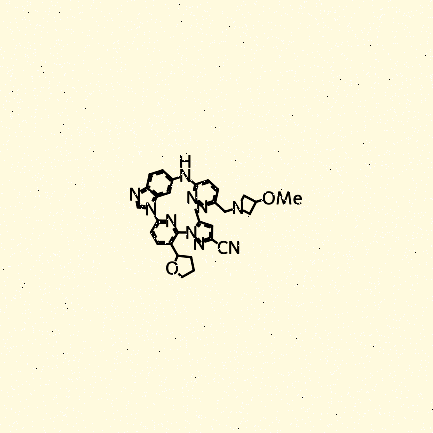 COC1CN(Cc2ccc(Nc3ccc4ncn(-c5ccc(C6CCCO6)c(-n6nc(C#N)cc6C)n5)c4c3)nn2)C1